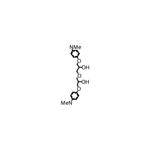 CNc1ccc(OCC(O)COCC(O)COc2ccc(NC)cc2)cc1